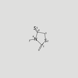 C=C1SCC(=S)N1C